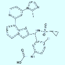 Cc1nccn1-c1ccnc(-c2cccc3cc(C(NS(=O)(=O)C4CC4)c4nc(NC(=O)O)ccc4Cl)sc23)c1